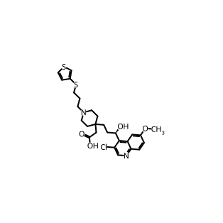 COc1ccc2ncc(Cl)c([C@H](O)CCC3(CC(=O)O)CCN(CCCSc4ccsc4)CC3)c2c1